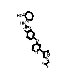 O[C@@H]1CCCC[C@H]1Nc1nc2ccc(Oc3ccnc(-c4cnn(CC(F)F)c4)c3)cc2s1